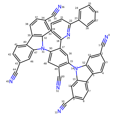 N#Cc1ccc2c3ccc(C#N)cc3n(-c3cc(-c4cccc(-c5ccccc5)n4)c(-n4c5cc(C#N)ccc5c5ccc(C#N)cc54)cc3C#N)c2c1